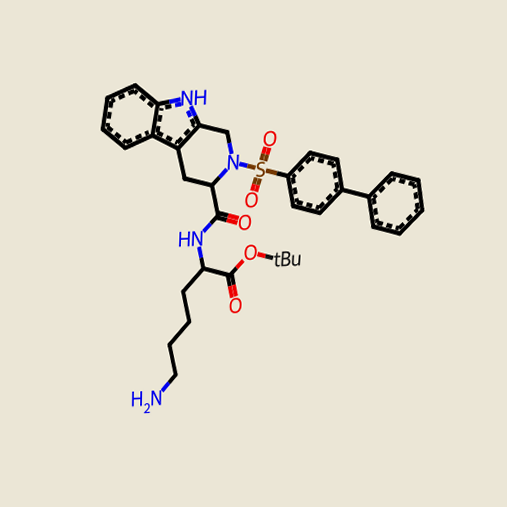 CC(C)(C)OC(=O)C(CCCCN)NC(=O)C1Cc2c([nH]c3ccccc23)CN1S(=O)(=O)c1ccc(-c2ccccc2)cc1